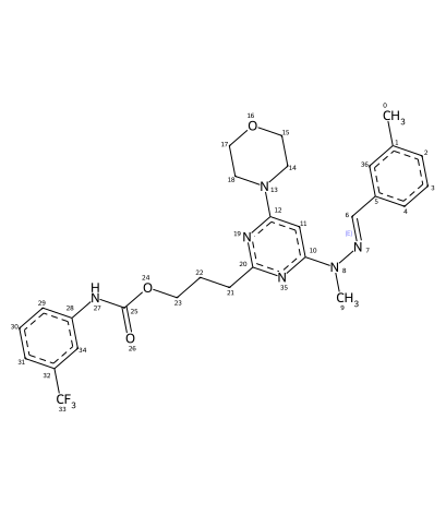 Cc1cccc(/C=N/N(C)c2cc(N3CCOCC3)nc(CCCOC(=O)Nc3cccc(C(F)(F)F)c3)n2)c1